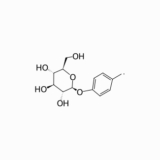 [CH2]c1ccc(O[C@@H]2O[C@H](CO)[C@@H](O)[C@H](O)[C@H]2O)cc1